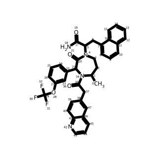 CC1CCN(C(Cc2cccc3ccccc23)C(N)=O)C(=O)C(c2cccc(OC(F)(F)F)c2)N1C(=O)Cc1ccc2ncccc2c1